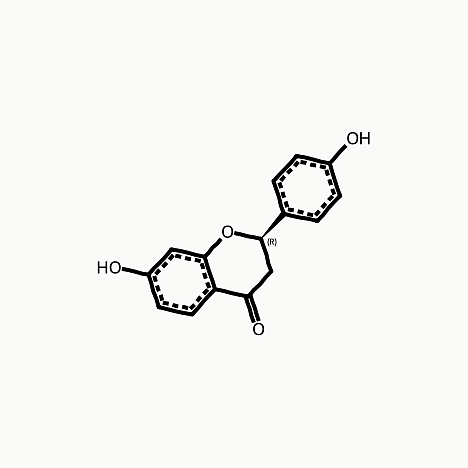 O=C1C[C@H](c2ccc(O)cc2)Oc2cc(O)ccc21